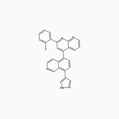 Fc1ccccc1-c1cc(-c2ccc(-c3cn[nH]c3)c3cnccc23)c2cccnc2n1